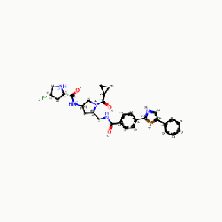 O=C(NC[C@H]1C[C@@H](NC(=O)[C@@H]2C[C@H](F)CN2)CN1C(=O)C1CC1)c1ccc(-c2ncc(-c3ccccc3)s2)cc1